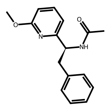 COc1cccc([C@H](Cc2ccccc2)NC(C)=O)n1